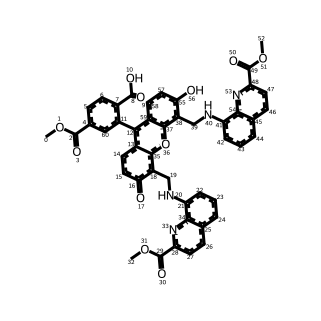 COC(=O)c1ccc(C(=O)O)c(-c2c3ccc(=O)c(CNc4cccc5ccc(C(=O)OC)nc45)c-3oc3c(CNc4cccc5ccc(C(=O)OC)nc45)c(O)ccc23)c1